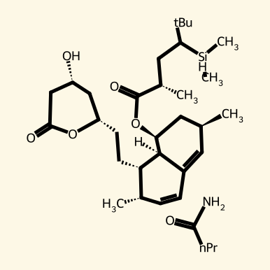 CCCC(N)=O.C[C@H]1C=C2C=C[C@H](C)[C@H](CC[C@H]3C[C@@H](O)CC(=O)O3)[C@H]2[C@@H](OC(=O)[C@@H](C)CC([SiH](C)C)C(C)(C)C)C1